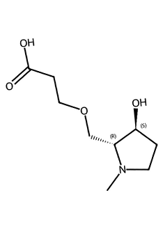 CN1CC[C@H](O)[C@H]1COCCC(=O)O